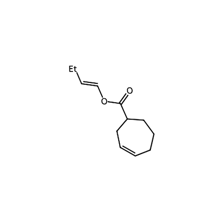 CCC=COC(=O)C1CC=CCCC1